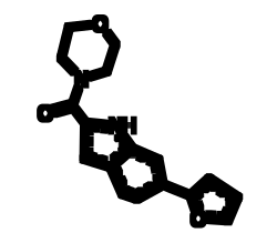 O=C(c1cc2ccc(-c3ccco3)cc2[nH]1)N1CCOCC1